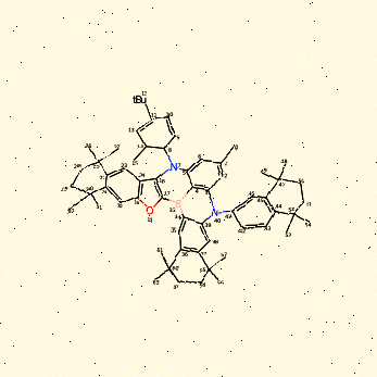 Cc1cc2c3c(c1)N(C1C=CC(C(C)(C)C)=CC1C)c1c(oc4cc5c(cc14)C(C)(C)CCC5(C)C)B3c1cc3c(cc1N2c1ccc2c(c1)C(C)(C)CCC2(C)C)C(C)(C)CCC3(C)C